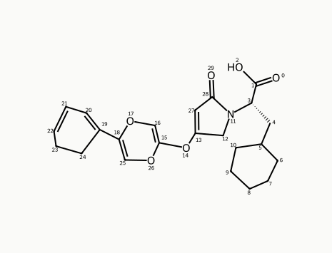 O=C(O)[C@H](CC1CCCCC1)N1CC(OC2=COC(C3=CC=CCC3)=CO2)=CC1=O